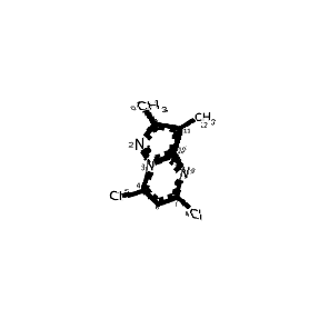 Cc1nn2c(Cl)cc(Cl)nc2c1C